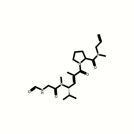 C=CCN(C)C(=O)C1CCCN1C(=O)/C(C)=C/[C@H](C(C)C)N(C)C(=O)CNC=O